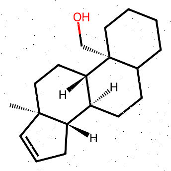 C[C@@]12C=CC[C@H]1[C@@H]1CCC3CCCC[C@]3(CO)[C@H]1CC2